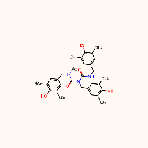 CC(=O)N(Cc1cc(C(C)(C)C)c(O)c(C(C)(C)C)c1)C(=O)N(Cc1cc(C(C)(C)C)c(O)c(C(C)(C)C)c1)C(=O)NCc1cc(C(C)(C)C)c(O)c(C(C)(C)C)c1